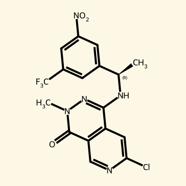 C[C@@H](Nc1nn(C)c(=O)c2cnc(Cl)cc12)c1cc([N+](=O)[O-])cc(C(F)(F)F)c1